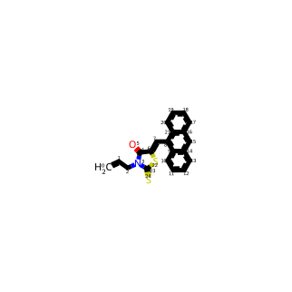 C=CCN1C(=O)/C(=C/c2c3ccccc3cc3ccccc23)SC1=S